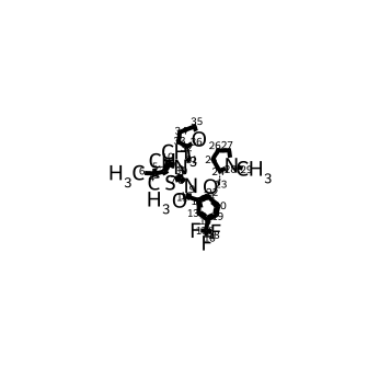 Cc1c(C(C)(C)C)s/c(=N\C(=O)c2cc(C(F)(F)F)ccc2OC[C@@H]2CCCN2C)n1C[C@H]1CCCO1